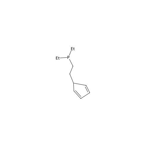 CCP(CC)CCC1C=CC=C1